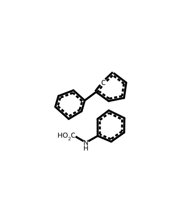 O=C(O)Nc1ccccc1.c1ccc(-c2ccccc2)cc1